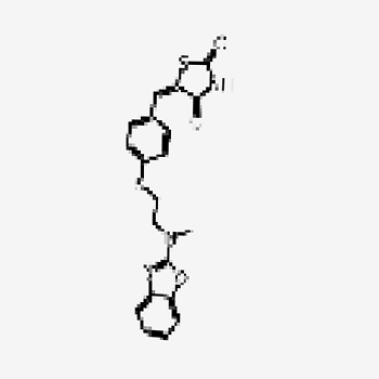 CN(CCSc1ccc(C=C2SC(=O)NC2=O)cc1)c1nc2ccccc2o1